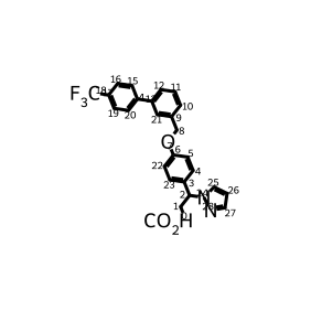 O=C(O)CC(c1ccc(OCc2cccc(-c3ccc(C(F)(F)F)cc3)c2)cc1)n1cccn1